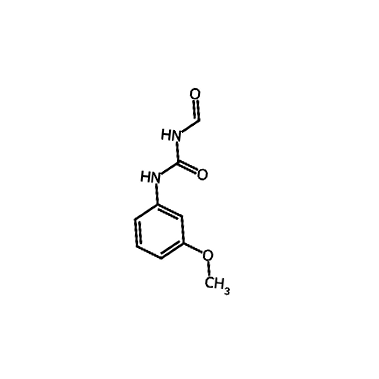 COc1cccc(NC(=O)NC=O)c1